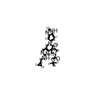 CC(C)(C)OC(=O)N1CCC2(C1)C(=O)N(c1ccc3[nH]cnc3c1)Cc1cnc(NCC3CC3)nc12